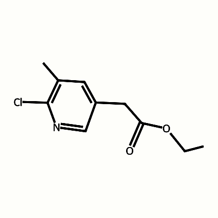 CCOC(=O)Cc1cnc(Cl)c(C)c1